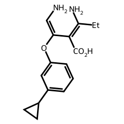 CC/C(N)=C(C(=O)O)/C(=C\N)Oc1cccc(C2CC2)c1